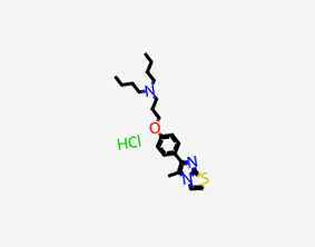 CCCCN(CCCC)CCCOc1ccc(-c2nc3sccn3c2C)cc1.Cl